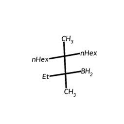 BC(C)(CC)C(C)(CCCCCC)CCCCCC